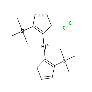 C[Si](C)(C)C1=[C]([Hf+2][C]2=C([Si](C)(C)C)C=CC2)CC=C1.[Cl-].[Cl-]